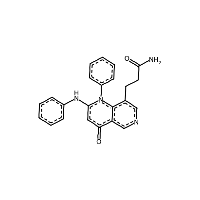 NC(=O)CCc1cncc2c(=O)cc(Nc3ccccc3)n(-c3ccccc3)c12